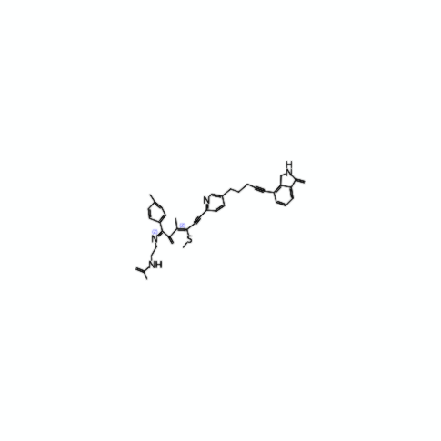 C=C(C)NCC/N=C(\C(=C)/C(C)=C(/C#Cc1ccc(CCCC#Cc2cccc3c2CNC3=C)cn1)SC)c1ccc(C)cc1